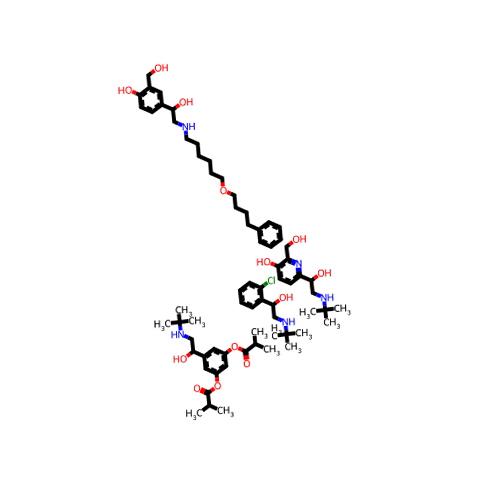 CC(C)(C)NCC(O)c1ccc(O)c(CO)n1.CC(C)(C)NCC(O)c1ccccc1Cl.CC(C)C(=O)Oc1cc(OC(=O)C(C)C)cc(C(O)CNC(C)(C)C)c1.OCc1cc(C(O)CNCCCCCCOCCCCc2ccccc2)ccc1O